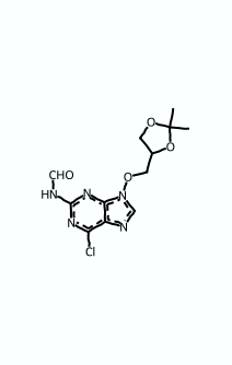 CC1(C)OCC(COn2cnc3c(Cl)nc(NC=O)nc32)O1